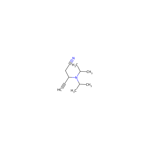 C#CC(CC#N)N(C(C)C)C(C)C